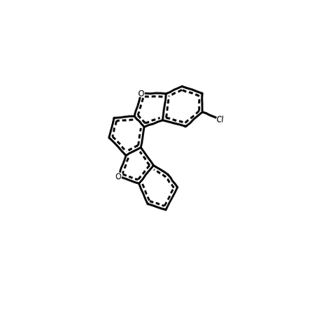 Clc1ccc2oc3ccc4oc5ccccc5c4c3c2c1